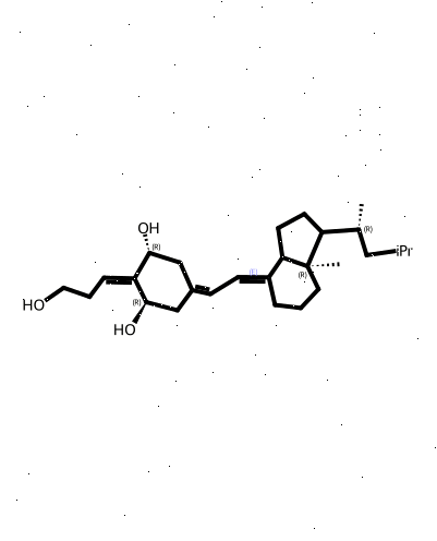 CC(C)C[C@@H](C)C1CCC2/C(=C/C=C3C[C@@H](O)C(=CCCO)[C@H](O)C3)CCC[C@@]21C